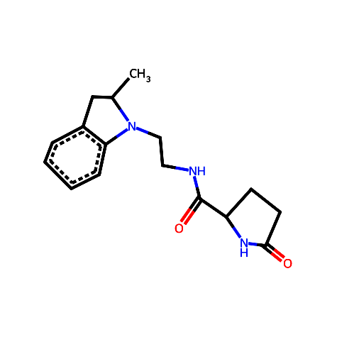 CC1Cc2ccccc2N1CCNC(=O)C1CCC(=O)N1